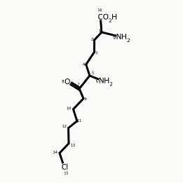 NC(CCCC(N)C(=O)CCCCCCCl)C(=O)O